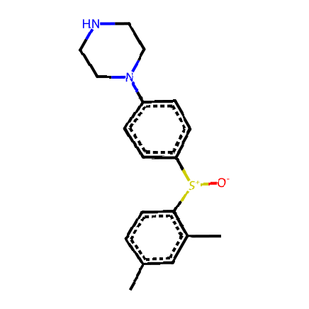 Cc1ccc([S+]([O-])c2ccc(N3CCNCC3)cc2)c(C)c1